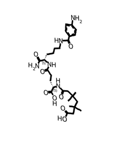 CC(C)(CC(=O)O)CC(C)(C)CC(=O)N[C@@H](CCC(=O)N[C@@H](CCCCNC(=O)c1ccc(N)cc1)C(N)=O)C(=O)O